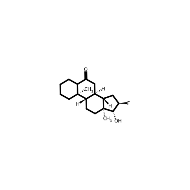 C[C@]12CC[C@H]3[C@@H](CC(=O)C4CCCC[C@@]43C)[C@@H]1C[C@@H](F)[C@@H]2O